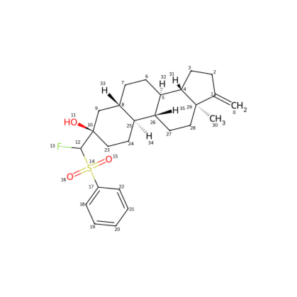 C=C1CC[C@H]2[C@@H]3CC[C@H]4C[C@@](O)(C(F)S(=O)(=O)c5ccccc5)CC[C@@H]4[C@H]3CC[C@]12C